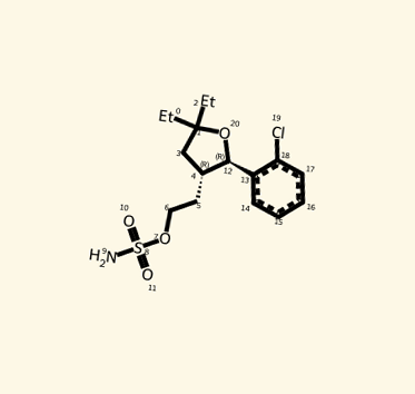 CCC1(CC)C[C@@H](CCOS(N)(=O)=O)[C@H](c2ccccc2Cl)O1